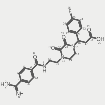 N=C(N)c1ccc(C(=O)NCCN2CCN(C(CC(=O)O)c3ccc(F)cc3)C(=O)C2=O)cc1